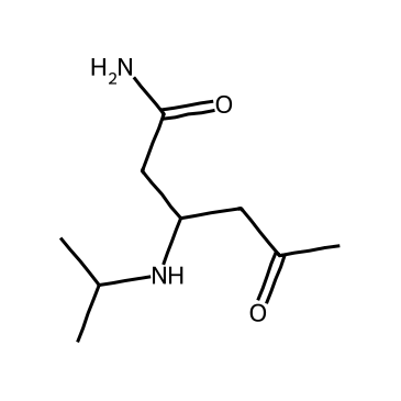 CC(=O)CC(CC(N)=O)NC(C)C